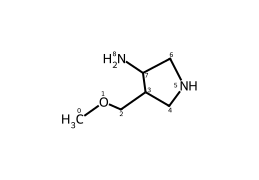 COCC1CNCC1N